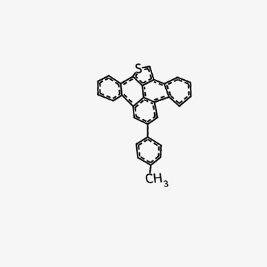 Cc1ccc(-c2cc3c4ccccc4c4csc5c6ccccc6c(c2)c3c45)cc1